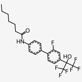 CCCCCCC(=O)Nc1ccc(-c2ccc(C(O)(C(F)(F)F)C(F)(F)F)cc2F)cc1